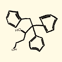 OCCC(O)C(Cc1ccccc1)(c1ccccc1)c1ccccc1